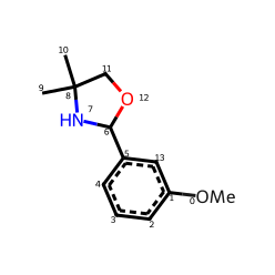 COc1cccc(C2NC(C)(C)CO2)c1